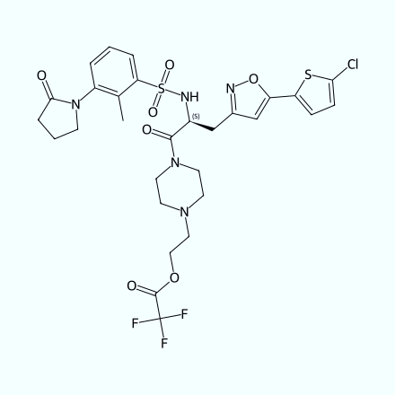 Cc1c(N2CCCC2=O)cccc1S(=O)(=O)N[C@@H](Cc1cc(-c2ccc(Cl)s2)on1)C(=O)N1CCN(CCOC(=O)C(F)(F)F)CC1